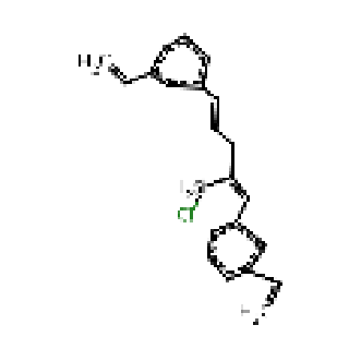 C=Cc1cccc(C=CCC(=Cc2cccc(C=C)c2)[SiH2]Cl)c1